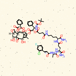 CC(=O)O[C@@]12CO[C@@H]1C[C@H](O)[C@@]1(C)C(=O)[C@H](O)C3=C(C)[C@@H](OC(=O)[C@H](OC(=O)CCC(=O)NCCCCC(NC(=O)CC[C@H](NC(=O)C(C)NC(=O)/C=C/c4ccc(F)cc4Cl)C(N)=O)C(N)=O)[C@@H](NC(=O)OC(C)(C)C)c4ccccc4)C[C@@](O)([C@@H](OC(=O)c4ccccc4)[C@H]21)C3(C)C